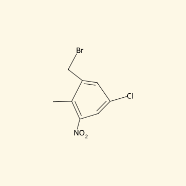 Cc1c(CBr)cc(Cl)cc1[N+](=O)[O-]